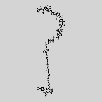 Cc1sc2c(c1C)C(c1ccc(Cl)cc1)=N[C@@H](CCOCCOCCOCCOCCOCCOCCOCCC(=O)NCCCN(C)CCCNC(=O)CCNC(=O)c1nc(NC(=O)CCNC(=O)c3nc(NC(=O)c4nc(NC(=O)CCNC(=O)c5cc(NC(=O)c6nccn6C)cn5C)cn4C)cn3C)cn1C)c1nnc(C)n1-2